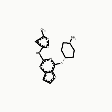 Cc1cc(Nc2nc(O[C@H]3CC[C@H](N)CC3)c3sccc3n2)sn1